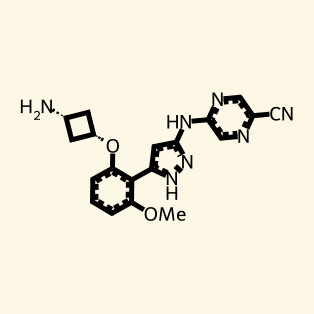 COc1cccc(O[C@H]2C[C@@H](N)C2)c1-c1cc(Nc2cnc(C#N)cn2)n[nH]1